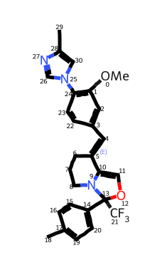 COc1cc(/C=C2\CCCN3C2=COC3(c2ccc(C)cc2)C(F)(F)F)ccc1-n1cnc(C)c1